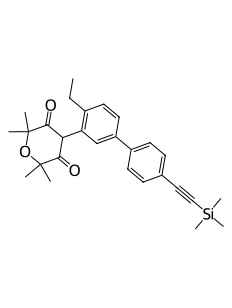 CCc1ccc(-c2ccc(C#C[Si](C)(C)C)cc2)cc1C1C(=O)C(C)(C)OC(C)(C)C1=O